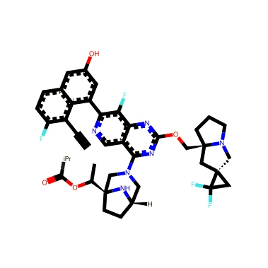 C#Cc1c(F)ccc2cc(O)cc(-c3ncc4c(N5C[C@@H]6CC[C@](C(C)OC(=O)C(C)C)(C5)N6)nc(OC[C@@]56CCCN5C[C@@]5(CC5(F)F)C6)nc4c3F)c12